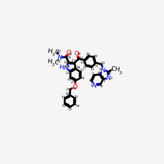 Cc1nc2cnccc2n1Cc1ccc(C(=O)c2c(C(=O)N(C)C)[nH]c3cc(OCc4ccccc4)ccc23)cc1